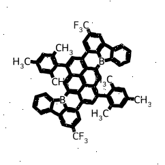 Cc1cc(C)c(-c2cc3c4c(cc5c(-c6c(C)cc(C)cc6C)cc6c7c(cc2c4c57)B2c4ccccc4-c4cc(C(F)(F)F)cc-6c42)B2c4ccccc4-c4cc(C(F)(F)F)cc-3c42)c(C)c1